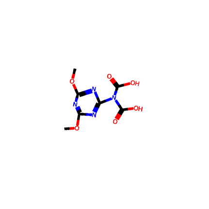 COc1nc(OC)nc(N(C(=O)O)C(=O)O)n1